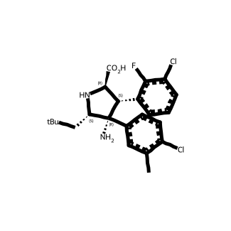 Cc1cc([C@@]2(N)[C@H](CC(C)(C)C)N[C@@H](C(=O)O)[C@@H]2c2cccc(Cl)c2F)ccc1Cl